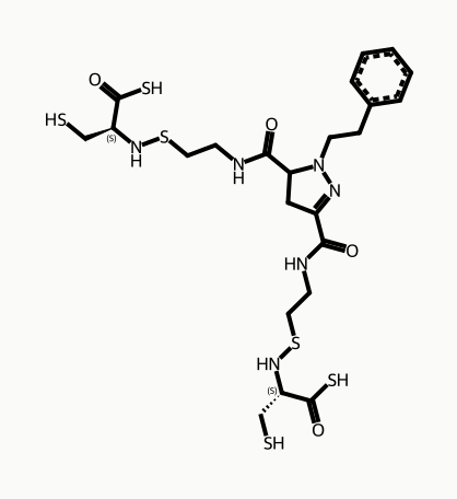 O=C(NCCSN[C@@H](CS)C(=O)S)C1=NN(CCc2ccccc2)C(C(=O)NCCSN[C@@H](CS)C(=O)S)C1